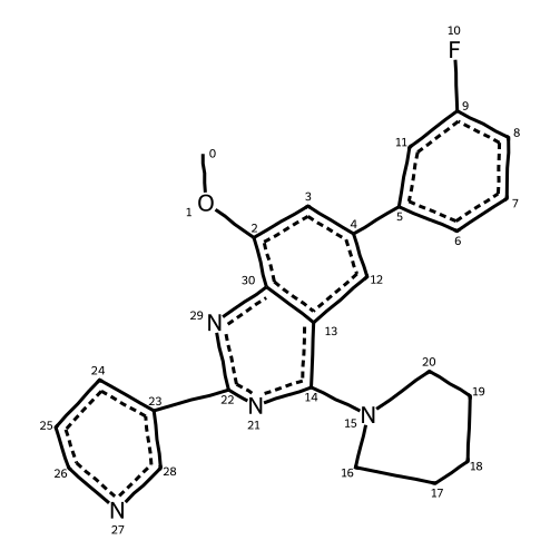 COc1cc(-c2cccc(F)c2)cc2c(N3CCCCC3)nc(-c3cccnc3)nc12